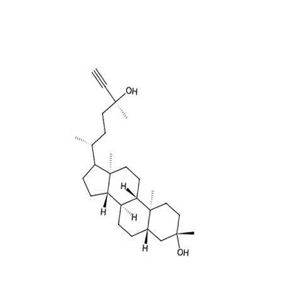 C#C[C@@](C)(O)CC[C@@H](C)C1CC[C@H]2[C@@H]3CC[C@H]4C[C@@](C)(O)CC[C@]4(C)[C@H]3CC[C@]12C